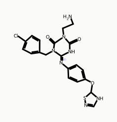 NCCn1c(=O)[nH]/c(=N\c2ccc(OC3NC=NS3)cc2)n(Cc2ccc(Cl)cc2)c1=O